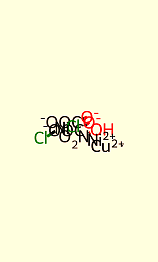 O=C([O-])[O-].O=C([O-])[O-].O=[N+]([O-])O.[Cl][Ni][Cl].[Cu+2].[Ni+2]